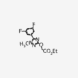 CCOC(=O)COc1nc(-c2cc(F)cc(F)c2)n(C)n1